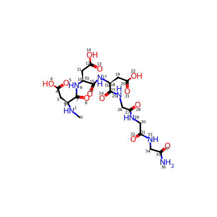 CN[C@@H](CC(=O)O)C(=O)N[C@@H](CC(=O)O)C(=O)N[C@@H](CC(=O)O)C(=O)NCC(=O)NCC(=O)NCC(N)=O